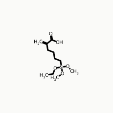 C=C(CCCC[Si](OC)(OC)OCC)C(=O)O